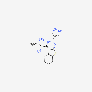 CC(N)C(N)c1nc(-c2cn[nH]c2)nc2sc3c(c12)CCCC3